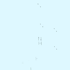 N#Cc1cnc(C#N)c(NCc2cccc(C(F)(F)F)c2)n1